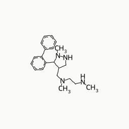 CNCCN(C)CC1CNN(C)C1c1ccccc1-c1ccccc1